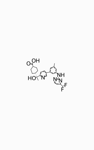 Cc1cc(Nc2nccc(C(F)F)n2)cc(-c2ccc(C(C)(O)[C@H]3CC[C@H](C(=O)O)CC3)nc2)c1